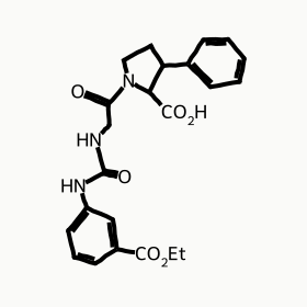 CCOC(=O)c1cccc(NC(=O)NCC(=O)N2CCC(c3ccccc3)C2C(=O)O)c1